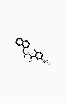 Cc1ccc([N+](=O)[O-])cc1C(=O)NC(C)Cc1cccc2ccccc12